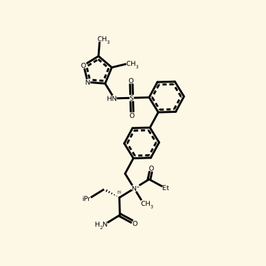 CCC(=O)[N+](C)(Cc1ccc(-c2ccccc2S(=O)(=O)Nc2noc(C)c2C)cc1)[C@@H](CC(C)C)C(N)=O